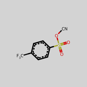 N#COS(=O)(=O)c1ccc(C(F)(F)F)cc1